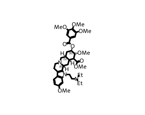 CCN(CC)CCn1c2c(c3ccc(OC)cc31)CCN1C[C@H]3C[C@@H](OC(=O)c4cc(OC)c(OC)c(OC)c4)[C@H](OC)C(C(=O)OC)[C@H]3C[C@H]21